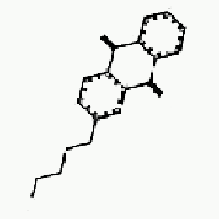 CCCCCc1ccc2c(c1)C(=O)c1ccccc1C2=O.[H+]